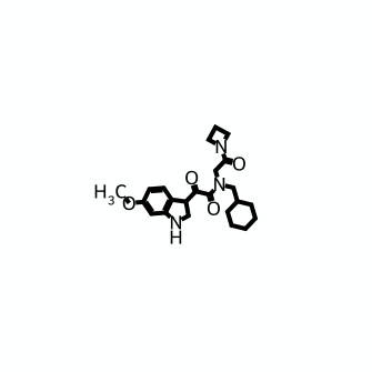 COc1ccc2c(c1)NCC2C(=O)C(=O)N(CC(=O)N1CCC1)CC1CCCCC1